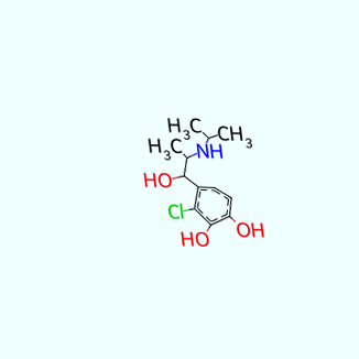 CC(C)NC(C)C(O)c1ccc(O)c(O)c1Cl